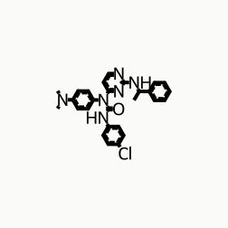 CC(Nc1nccc(N(C(=O)Nc2ccc(Cl)cc2)c2ccc(N(C)C)cc2)n1)c1ccccc1